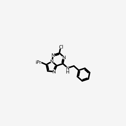 CC(C)c1cnc2c(NCc3ccccc3)nc(Cl)nn12